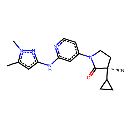 Cc1cc(Nc2cc(N3CC[C@@](C#N)(C4CC4)C3=O)ccn2)nn1C